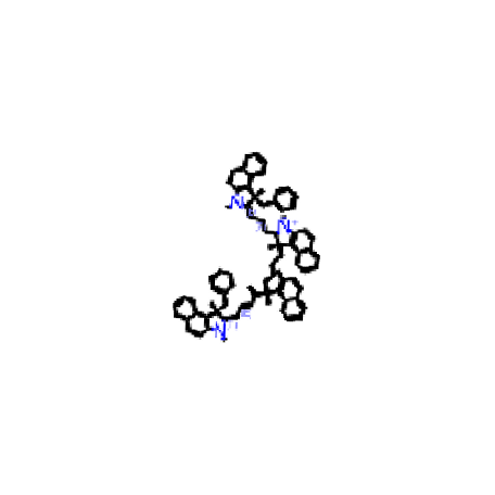 C=C(/C=C/C=C1/N(C)c2ccc3ccccc3c2C1(C)Cc1ccccc1)C(C)(CC=CCC1(C)C(/C=C/C=C2/N(C)c3ccc4ccccc4c3C2(C)Cc2ccccc2)=[N+](C)c2ccc3ccccc3c21)c1c(C)ccc2ccccc12